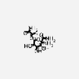 CC(O[C@@H]1OC(N)(C(N)=O)[C@@H](O)C(O)C1O)C(N)=O